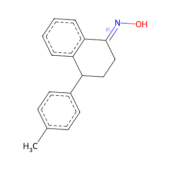 Cc1ccc(C2CC/C(=N\O)c3ccccc32)cc1